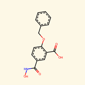 O=C(NO)c1ccc(OCc2ccccc2)c(C(=O)O)c1